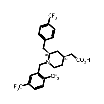 O=C(O)C[C@H]1CCN(Cc2cc(C(F)(F)F)ccc2C(F)(F)F)[C@@H](Cc2ccc(C(F)(F)F)cc2)C1